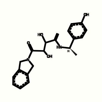 C=C(N[C@@H](C)c1ccc(O)cc1)C(O)C(O)C(=O)N1Cc2ccccc2C1